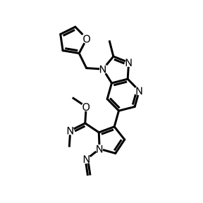 C=Nn1ccc(-c2cnc3nc(C)n(Cc4ccco4)c3c2)c1/C(=N\C)OC